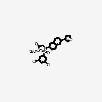 CC(C)(C)OC(=O)CN(c1ccc2cc(-c3ccoc3)ccc2c1)S(=O)(=O)c1cc(Cl)cc(Cl)c1